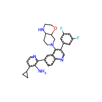 Nc1c(C2CC2)ccnc1-c1ccc2ncc(-c3cc(F)cc(F)c3)c(N3CCC4NCCOC4C3)c2c1